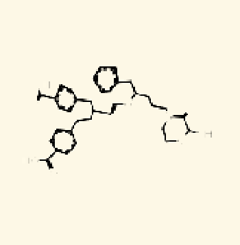 CC1OCCN(CCCC(Cc2ccccc2)O/C=C/C(CCc2ccc(C(=O)O)cc2)Cc2ccc(C(=O)O)cc2)C1=O